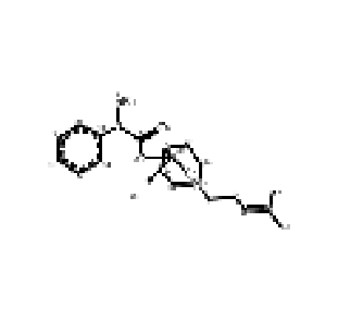 CCCCN(C(=O)O[C@H]1C[N+]2(CCC=C(C)C)CCC1CC2)c1ccccc1